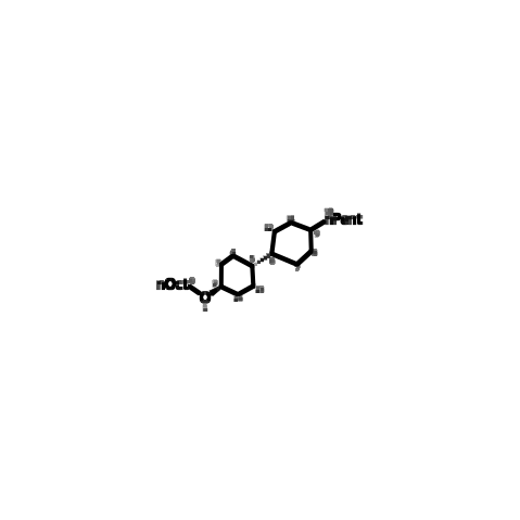 CCCCCCCCO[C@H]1CC[C@H](C2CCC(CCCCC)CC2)CC1